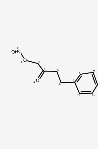 O=COCC(=O)CCc1ccccc1